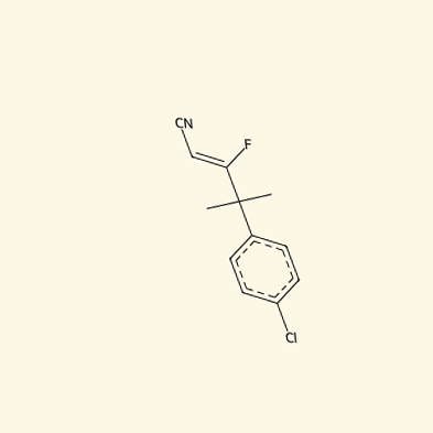 CC(C)(C(F)=CC#N)c1ccc(Cl)cc1